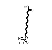 O=C(O)CCCCCCCCCOP(=O)(O)O